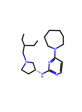 CCC(CC)CN1CC[C@@H](Nc2nccc(N3CCCCCC3)n2)C1